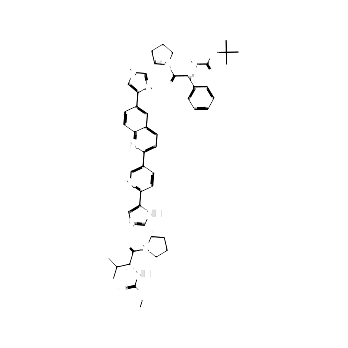 COC(=O)N[C@H](C(=O)N1CCC[C@H]1c1ncc(-c2ccc(-c3ccc4cc(-c5c[nH]c([C@@H]6CCCN6C(=O)[C@H](NC(=O)OC(C)(C)C)c6ccccc6)n5)ccc4n3)cn2)[nH]1)C(C)C